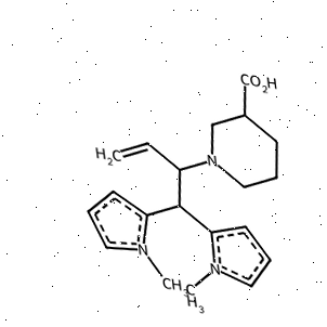 C=CC(C(c1cccn1C)c1cccn1C)N1CCCC(C(=O)O)C1